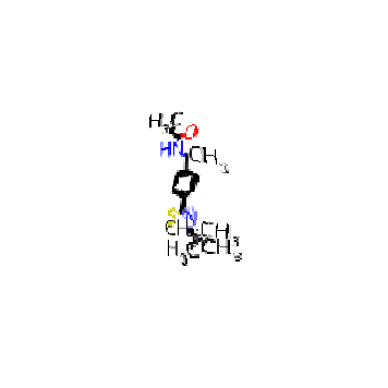 CCC(=O)NC(C)c1ccc(/C(=N/C[Si](C)(C)C)SC)cc1